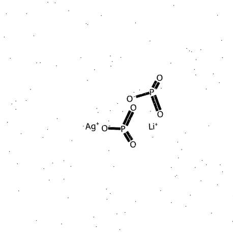 O=P(=O)[O-].O=P(=O)[O-].[Ag+].[Li+]